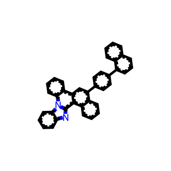 c1ccc2c(-c3ccc(-c4cc5c6ccccc6n6c7ccccc7nc6c5c5ccccc45)cc3)cccc2c1